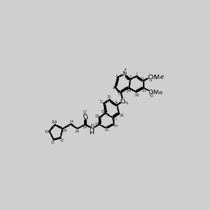 COc1cc2nccc(Oc3ccc4cc(NC(=O)CCC5CCCC5)ccc4c3)c2cc1OC